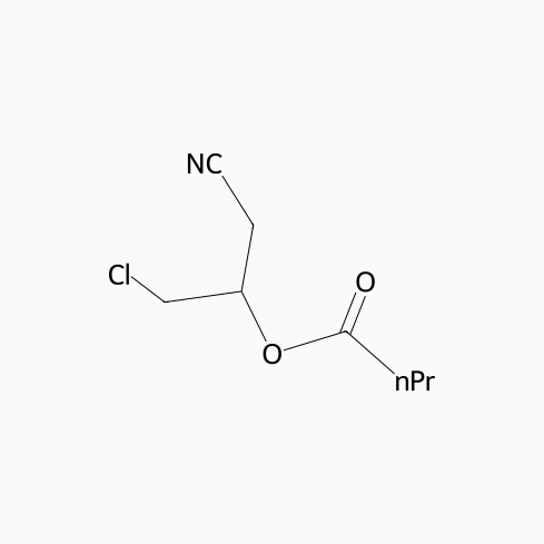 CCCC(=O)OC(CCl)CC#N